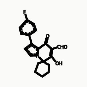 O=CC1=C(O)C2(CCCCC2)n2ccc(-c3ccc(F)cc3)c2C1=O